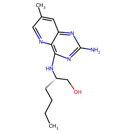 CCCC[C@@H](CO)Nc1nc(N)nc2cc(C)cnc12